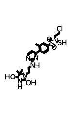 Cc1cc(S(=O)(=O)N(S)CCCl)ccc1-c1ccnc(NCCN2C(O)NC(O)C2(C)C)n1